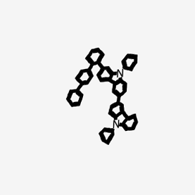 c1ccc(-c2ccc(-c3ccccc3-c3ccc4c5cc(-c6ccc7c(c6)c6ccccc6n7-c6ccccc6)ccc5n(-c5ccccc5)c4c3)cc2)cc1